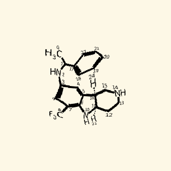 CC(Nc1cc2c(c(C(F)(F)F)c1)N[C@@H]1CCNC[C@H]21)c1ccccc1